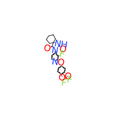 O=C1NC2(CCCCC2)C(=O)N1c1ccnc(Oc2ccc3c(c2)OC(F)(F)O3)c1F